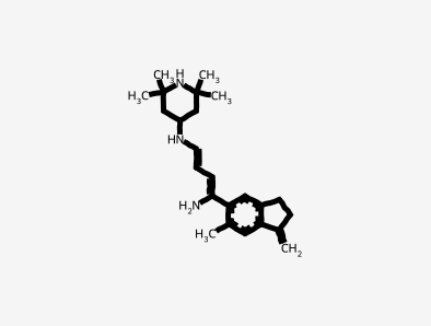 C=C1CCc2cc(/C(N)=C/C=C/NC3CC(C)(C)NC(C)(C)C3)c(C)cc21